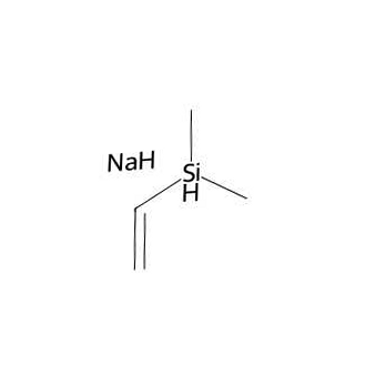 C=C[SiH](C)C.[NaH]